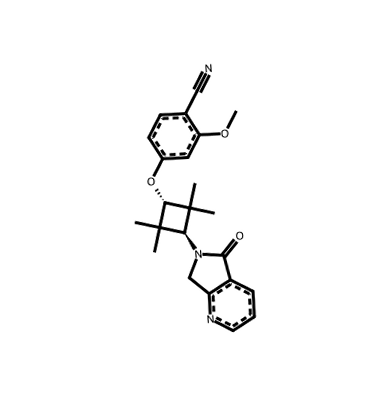 COc1cc(O[C@H]2C(C)(C)[C@H](N3Cc4ncccc4C3=O)C2(C)C)ccc1C#N